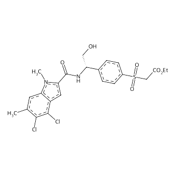 CCOC(=O)CS(=O)(=O)c1ccc([C@@H](CO)NC(=O)c2cc3c(Cl)c(Cl)c(C)cc3n2C)cc1